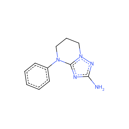 Nc1nc2n(n1)CCCN2c1ccccc1